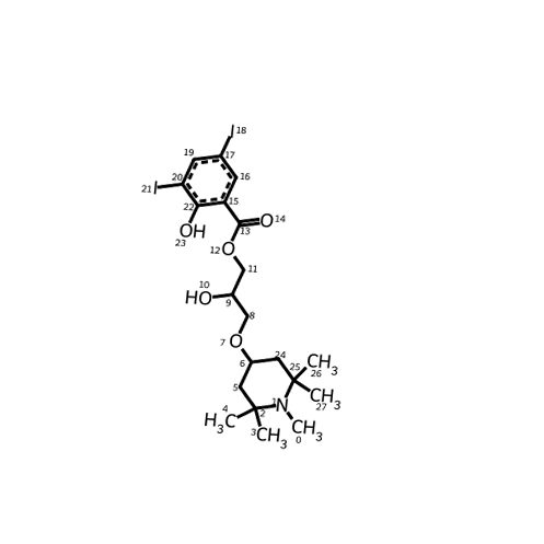 CN1C(C)(C)CC(OCC(O)COC(=O)c2cc(I)cc(I)c2O)CC1(C)C